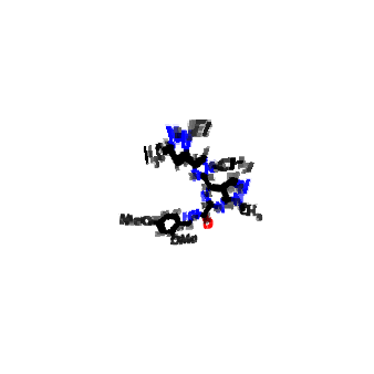 CCn1nc(C)cc1-c1cn(C)c(-c2nc(C(=O)NCc3ccc(OC)cc3OC)nc3c2cnn3C)n1